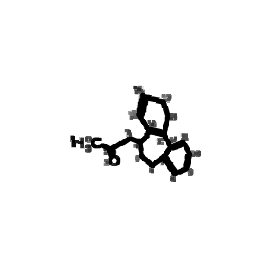 CC(=O)CC1CCc2ccccc2C2=C1C=CCC2